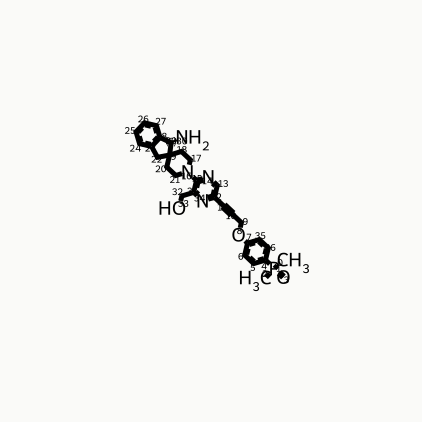 CP(C)(=O)c1ccc(OCC#Cc2cnc(N3CCC4(CC3)Cc3ccccc3[C@H]4N)c(CO)n2)cc1